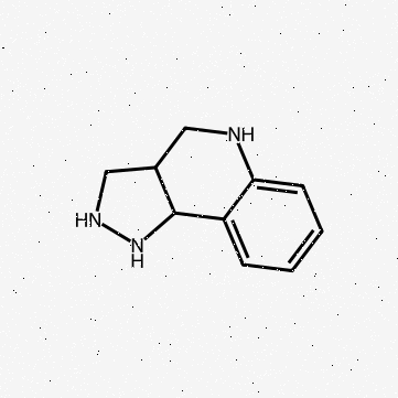 c1ccc2c(c1)NCC1CNNC21